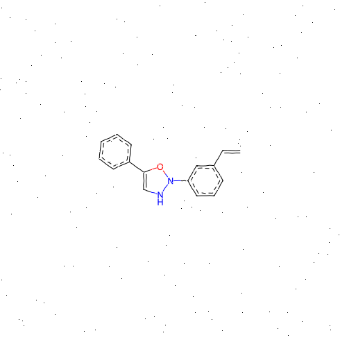 C=Cc1cccc(N2NC=C(c3ccccc3)O2)c1